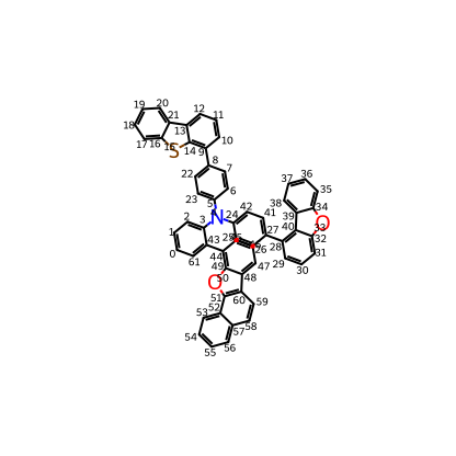 c1ccc(N(c2ccc(-c3cccc4c3sc3ccccc34)cc2)c2ccc(-c3cccc4oc5ccccc5c34)cc2)c(-c2cccc3c2oc2c4ccccc4ccc32)c1